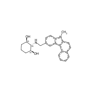 Cn1c2ccc(CN[C@H]3[C@H](O)CCC[C@@H]3O)cc2c2c3ccccc3ccc21